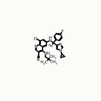 [2H]C(Nc1cc(Cl)c2ncc(C#N)c(NCC(C)(C)C)c2c1)(c1ccc(F)cc1)c1cn(C2CC2)cn1